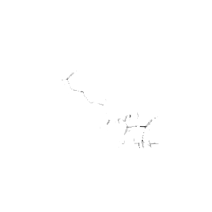 CNC(=S)C(=S)NC(=O)CCCCC(C)=O